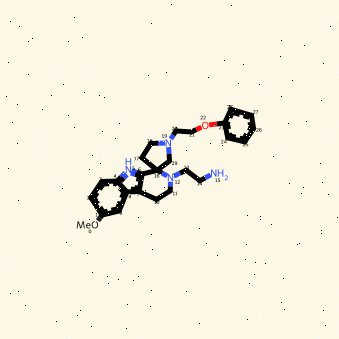 COc1ccc2[nH]c3c(c2c1)CCN(CCN)C31CCN(CCOc2ccccc2)C1